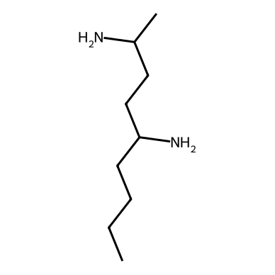 CCCCC(N)CCC(C)N